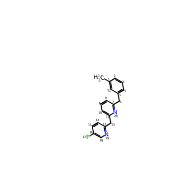 Cc1cccc(Cc2cccc(Cc3ccc(F)cn3)n2)c1